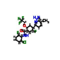 Cc1ccc(-c2cc(OCC(F)(F)F)c(C(=O)Nc3c(F)cccc3Cl)cc2F)nc1N